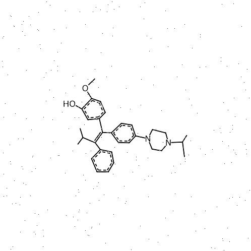 COc1ccc(/C(=C(/c2ccccc2)C(C)C)c2ccc(N3CCN(C(C)C)CC3)cc2)cc1O